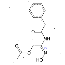 CC(=O)OC/C(=N\O)NC(=O)Cc1ccccc1